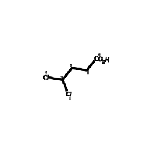 O=C(O)CCC(Cl)Cl